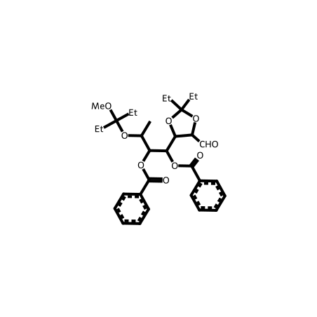 CCC(CC)(OC)OC(C)C(OC(=O)c1ccccc1)C(OC(=O)c1ccccc1)C1OC(CC)(CC)OC1C=O